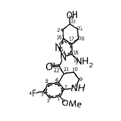 COc1cc(F)cc2c1NCCC2C(=O)n1nc2c(c1N)CCC(O)C2